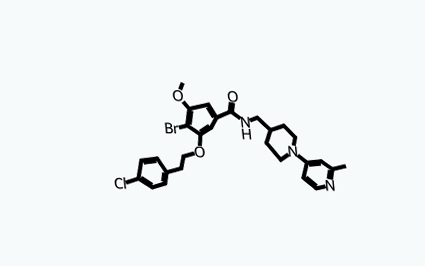 COc1cc(C(=O)NCC2CCN(c3ccnc(C)c3)CC2)cc(OCCc2ccc(Cl)cc2)c1Br